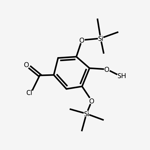 C[Si](C)(C)Oc1cc(C(=O)Cl)cc(O[Si](C)(C)C)c1OS